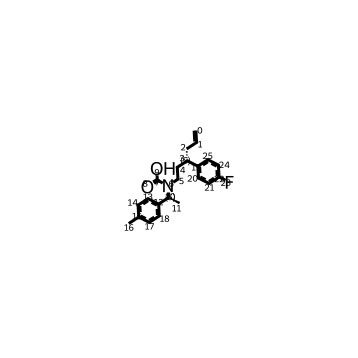 C=CC[C@@H](CCN(C(=O)O)[C@@H](C)c1ccc(C)cc1)c1ccc(F)cc1